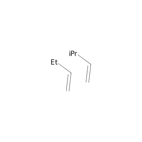 C=CC(C)C.C=CCC